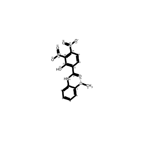 COc1ccccc1NC(=O)c1ccc([N+](=O)[O-])c([N+](=O)[O-])c1O